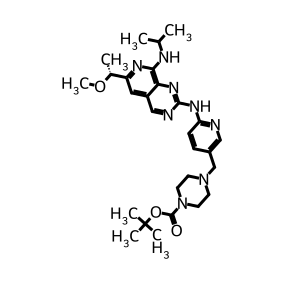 CO[C@H](C)c1cc2cnc(Nc3ccc(CN4CCN(C(=O)OC(C)(C)C)CC4)cn3)nc2c(NC(C)C)n1